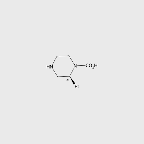 CC[C@H]1CNCCN1C(=O)O